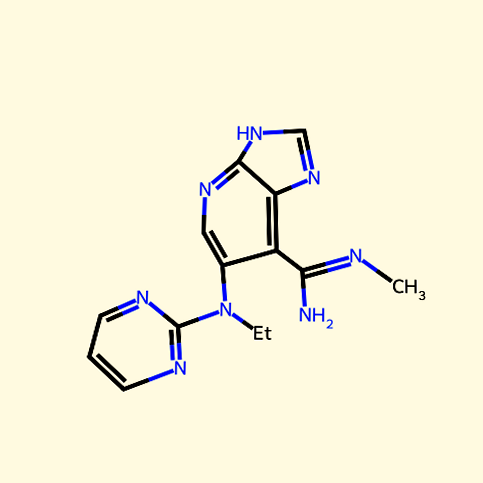 CCN(c1ncccn1)c1cnc2[nH]cnc2c1C(N)=NC